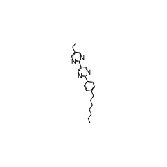 CCCCCCCc1ccc(-c2ncc(-c3ncc(CC)cn3)cn2)cc1